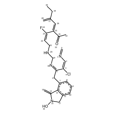 C=N/C=C(Cl)\C(Cc1cccc2c1C(=C)N(O)C2)=N/CNC/C=C(F)\C(=C/C(=C)CC)C(C)=O